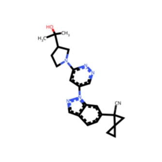 CC(C)(O)C1CCN(c2cc(-n3ncc4ccc(C5(C#N)CC56CC6)cc43)cnn2)C1